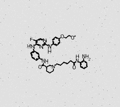 COCCOc1ccc(Nc2ncc(F)c(Nc3cccc(NC(=O)C4CCCN(CCCCCC(=O)Nc5ccccc5N)C4)c3)n2)cc1